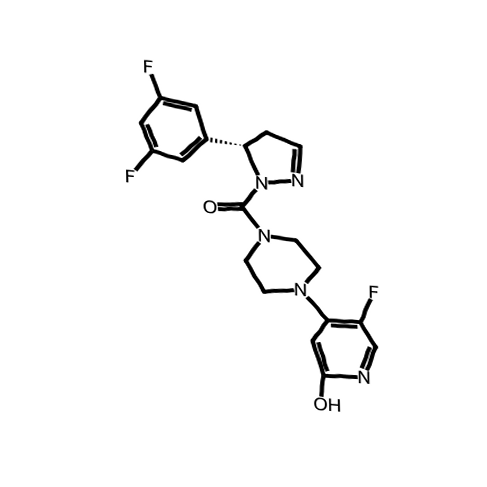 O=C(N1CCN(c2cc(O)ncc2F)CC1)N1N=CC[C@H]1c1cc(F)cc(F)c1